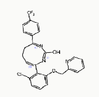 OC1=N/C(c2c(Cl)cccc2OCc2ccccn2)=C\CC/C(c2ccc(C(F)(F)F)cc2)=N\1